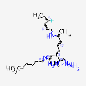 C=C(/C=C/C=C(\C=C(C)\N=C\CCCCC(=O)O)C(/N)=C/NN)NC/C=C\C(F)=C/C